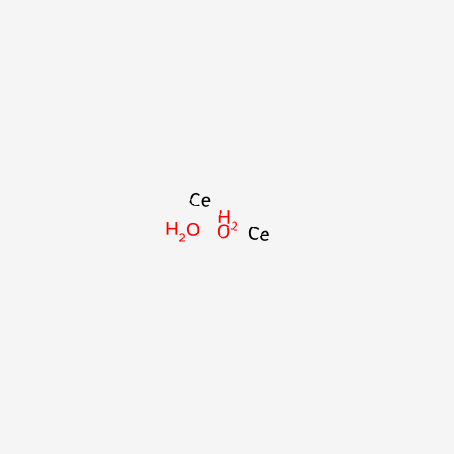 O.O.[Ce].[Ce]